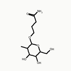 CC1C(OCCCC(N)=O)OC(CO)C(O)C1O